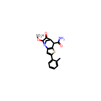 Cc1ccccc1-c1cc2c(s1)C(C(N)=O)C1CN2C(OS(=O)(=O)O)C1=O